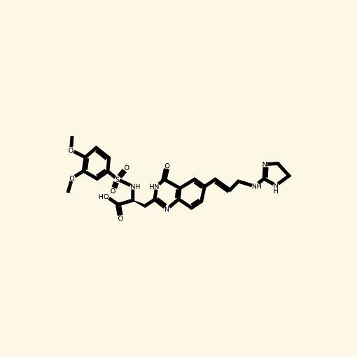 COc1ccc(S(=O)(=O)N[C@@H](Cc2nc3ccc(C=CCNC4=NCCN4)cc3c(=O)[nH]2)C(=O)O)cc1OC